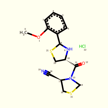 COc1ccccc1C1N[C@H](C(=O)N2CSC[C@H]2C#N)CS1.Cl